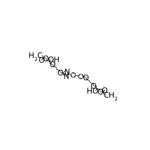 C=CC(=O)OCC(O)COCCCCOc1ccc(-c2ccc(-c3ncc(OCCCCOCC(O)COC(=O)C=C)cn3)cc2)cc1